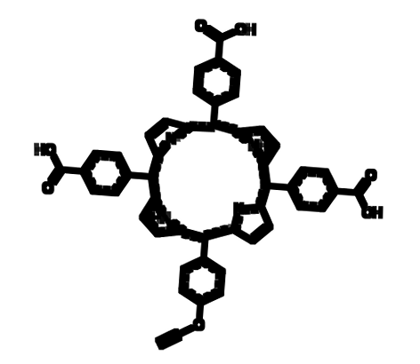 C#COc1ccc(-c2c3nc(c(-c4ccc(C(=O)O)cc4)c4ccc([nH]4)c(-c4ccc(C(=O)O)cc4)c4nc(c(-c5ccc(C(=O)O)cc5)c5ccc2[nH]5)C=C4)C=C3)cc1